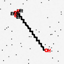 CCO[Si](CCCCCCCCCCCCCCCCCCCCCCCCO)(OCC)OCC